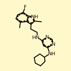 Cc1[nH]c2c(F)ccc(C)c2c1CCNc1cc(NC2CCCCC2)ncn1